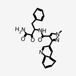 Cn1cc(C(=O)NC(Cc2ccccc2)C(=O)C(N)=O)c(-c2cnc3ccccc3c2)n1